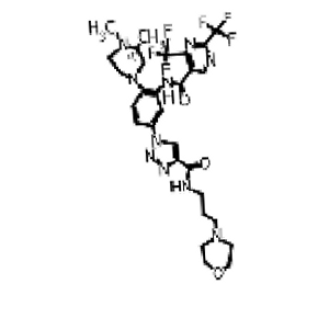 C[C@H]1CN(c2ccc(-n3cc(C(=O)NCCCN4CCOCC4)nn3)cc2NC(=O)c2cnc(C(F)(F)F)nc2C(F)(F)F)CCN1C